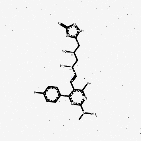 CC(C)c1nc(N(C)N)nc(-c2ccc(F)cc2)c1/C=C/[C@@H](O)C[C@@H](O)Cc1nc(=O)o[nH]1